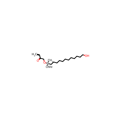 C=CC(=O)CO[Si](C)(CCCCCCCCCCCCO)OC